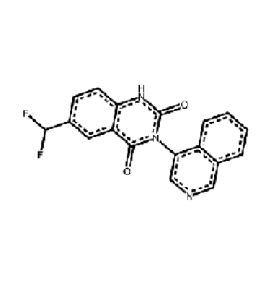 O=c1[nH]c2ccc(C(F)F)cc2c(=O)n1-c1cncc2ccccc12